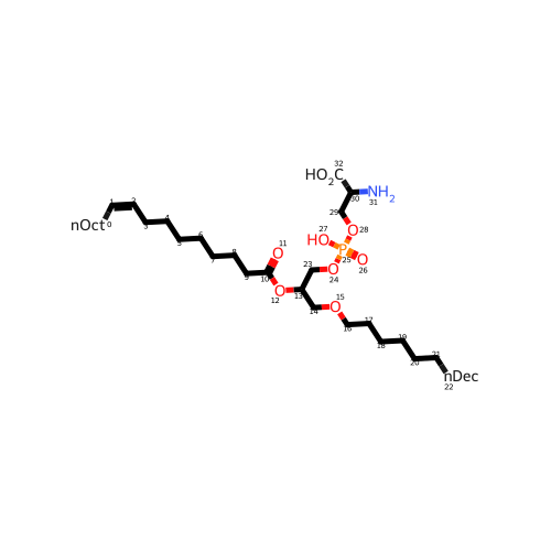 CCCCCCCC/C=C\CCCCCCCC(=O)OC(COCCCCCCCCCCCCCCCC)COP(=O)(O)OCC(N)C(=O)O